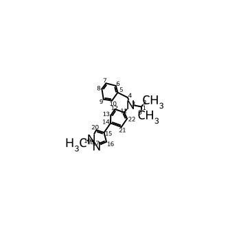 CC(C)N(Cc1ccccc1)c1ccc(-c2cnn(C)c2)cc1